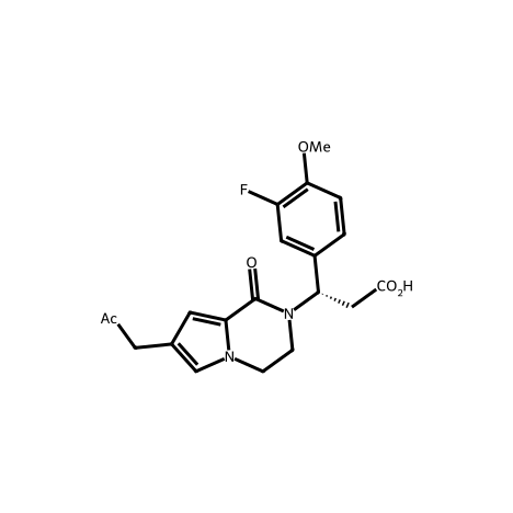 COc1ccc([C@H](CC(=O)O)N2CCn3cc(CC(C)=O)cc3C2=O)cc1F